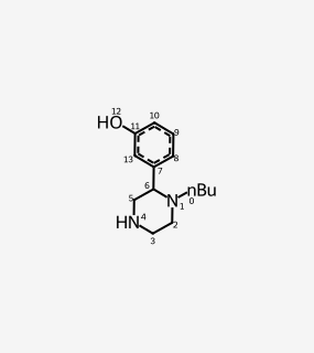 CCCCN1CCNCC1c1cccc(O)c1